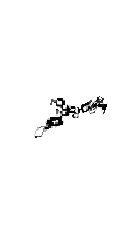 O=c1c2cc(-c3ccc(Cl)cc3)nc(-c3cccnc3)c2ncn1C1CCN(S(=O)(=O)C2CC2)CC1